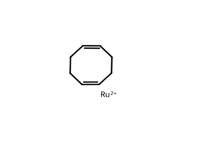 C1=CCCC=CCC1.[Ru+2]